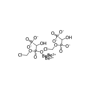 O=P([O-])([O-])C(O)P(=O)([O-])OCCl.O=P([O-])([O-])C(O)P(=O)([O-])OCCl.[Be+2].[Be+2].[Be+2]